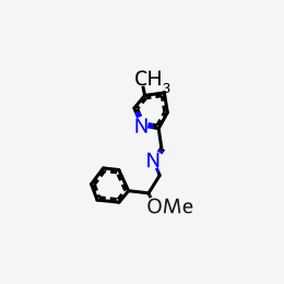 COC(CN=Cc1ccc(C)cn1)c1ccccc1